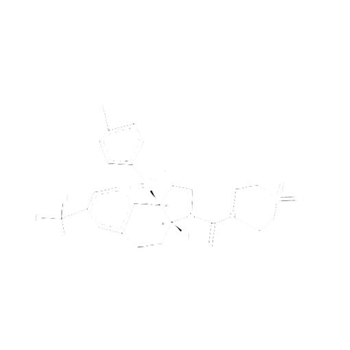 O=C(N1CCS(=O)(=O)CC1)N1CC[C@@]2(S(=O)(=O)c3ccc(F)cc3)c3ccc(C(F)(C(F)(F)F)C(F)(F)F)cc3CC[C@@H]12